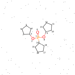 O=P(OC1CCCC1)(OC1CCCC1)C1CCCC1